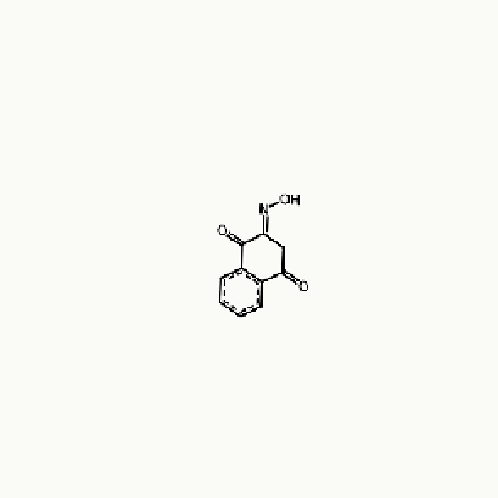 O=C1CC(=NO)C(=O)c2ccccc21